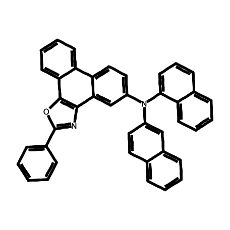 c1ccc(-c2nc3c4cc(N(c5ccc6ccccc6c5)c5cccc6ccccc56)ccc4c4ccccc4c3o2)cc1